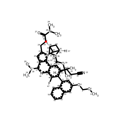 COCOc1cc(-c2c(CCC#N)cc3c(nc([S+](C)[O-])c4cc(CCC(=O)N(C)C)n([C@H]5[C@@H]6C[C@H]5N(C(=O)OC(C)(C)C)C6)c43)c2F)c2ccccc2c1